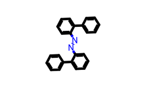 c1ccc(-c2ccccc2N=Nc2ccccc2-c2ccccc2)cc1